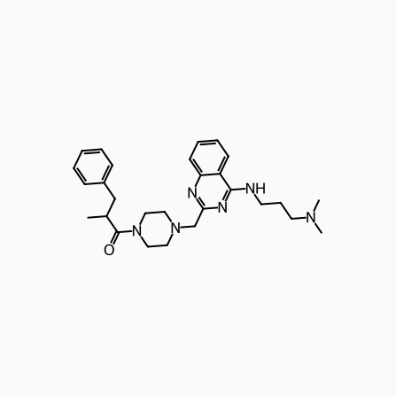 CC(Cc1ccccc1)C(=O)N1CCN(Cc2nc(NCCCN(C)C)c3ccccc3n2)CC1